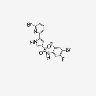 O=S(=O)(Nc1cc(F)c(Br)cc1F)c1c[nH]c(-c2cccc(Br)n2)c1